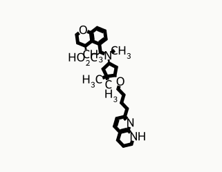 C[C@H]1CCOc2cccc([C@@H](C(=O)O)N(C)[C@H]3C[C@H](OCCCCc4ccc5c(n4)NCCC5)C(C)(C)C3)c21